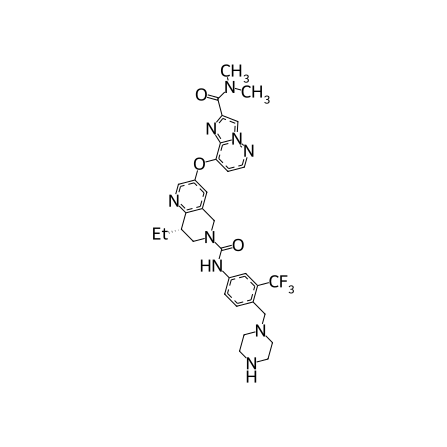 CC[C@H]1CN(C(=O)Nc2ccc(CN3CCNCC3)c(C(F)(F)F)c2)Cc2cc(Oc3ccnn4cc(C(=O)N(C)C)nc34)cnc21